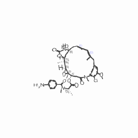 COc1cc2cc(c1Cl)N(C)C(=O)C[C@H](OC(=O)[C@H](C)N(C)C(=O)c1ccc(N)cc1)[C@]1(C)O[C@H]1[C@H](C)[C@@H]1C[C@](O)(C/C=C/C=C(\C)C2)NC(=O)O1